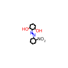 O=[N+]([O-])c1ccccc1N=Nc1c(O)cccc1O